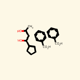 CC(O)CC(O)C1CCCC1.O=C(O)c1ccccc1.O=C(O)c1ccccc1